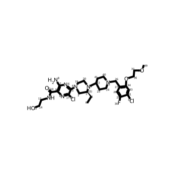 CC[C@H]1CN(c2nc(N)c(C(=O)NCCO)nc2Cl)CCN1C1CCN(Cc2cc(F)c(Cl)cc2OCCOC)CC1